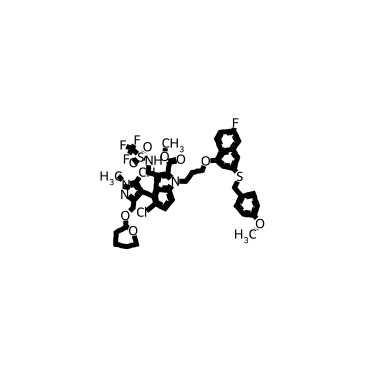 COC(=O)c1c(CNS(=O)(=O)C(F)(F)F)c2c(-c3c(COC4CCCCO4)nn(C)c3C)c(Cl)ccc2n1CCCOc1cc(SCc2ccc(OC)cc2)cc2cc(F)ccc12